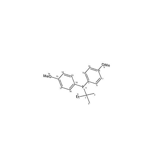 CCC(C)(C)P(c1ccc(OC)cc1)c1ccc(OC)cc1